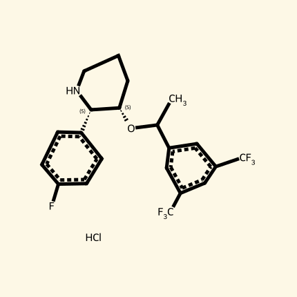 CC(O[C@H]1CCCN[C@H]1c1ccc(F)cc1)c1cc(C(F)(F)F)cc(C(F)(F)F)c1.Cl